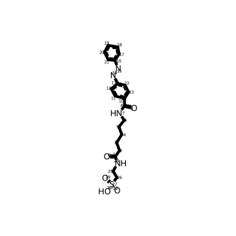 O=C(CCCCCNC(=O)c1ccc(/N=N/c2ccccc2)cc1)NCCS(=O)(=O)O